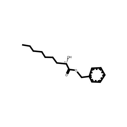 CCCCCCC[C@H](O)C(=O)OCc1ccccc1